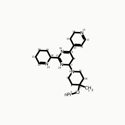 CCCOC1(C)CCN(C2CC(C3=CC=NCC3)=NC(C3CCCC=N3)=N2)CC1